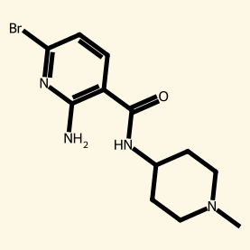 CN1CCC(NC(=O)c2ccc(Br)nc2N)CC1